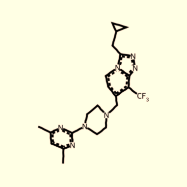 Cc1cc(C)nc(N2CCN(Cc3ccn4c(CC5CC5)nnc4c3C(F)(F)F)CC2)n1